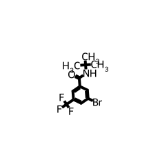 CC(C)(C)NC(=O)c1cc(Br)cc(C(F)(F)F)c1